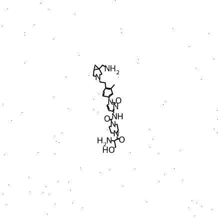 Cc1cc(-n2ccc(NC(=O)N3CCN(C(=O)C(N)CO)CC3)nc2=O)ccc1CCN1CC2CC2(CN)C1